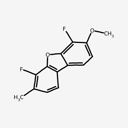 COc1ccc2c(oc3c(F)c(C)ccc32)c1F